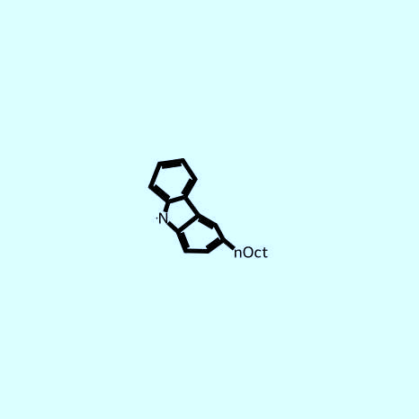 CCCCCCCCc1ccc2c(c1)-c1ccccc1[N]2